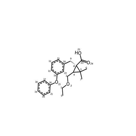 CCOCC1C(C)(C)[C@]1(Cc1cccc(Oc2ccccc2)c1)C(=O)O